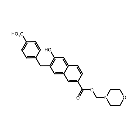 O=C(O)c1ccc(Cc2cc3cc(C(=O)OCN4CCOCC4)ccc3cc2O)cc1